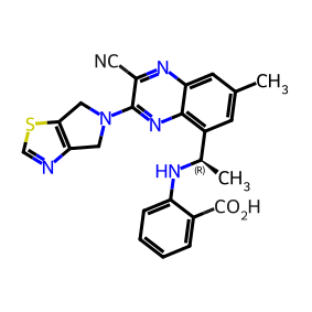 Cc1cc([C@@H](C)Nc2ccccc2C(=O)O)c2nc(N3Cc4ncsc4C3)c(C#N)nc2c1